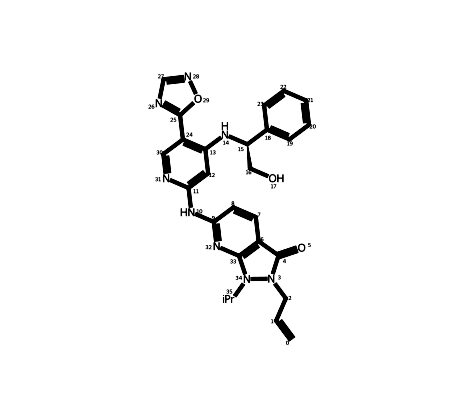 C=CCn1c(=O)c2ccc(Nc3cc(N[C@H](CO)c4ccccc4)c(-c4ncno4)cn3)nc2n1C(C)C